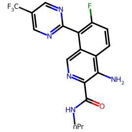 CCCNC(=O)c1ncc2c(-c3ncc(C(F)(F)F)cn3)c(F)ccc2c1N